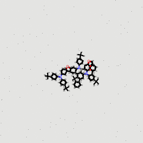 CC(C)(C)c1ccc(N2B3c4cc5occc5cc4N(c4ccc(C(C)(C)C)cc4-c4ccccc4)c4cc5c(c(c43)-c3cc4c(cc32)oc2ccc(N(c3ccc(C(C)(C)C)cc3)c3ccc(C(C)(C)C)cc3)cc24)C(C)(C)c2ccccc2-5)cc1